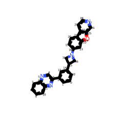 c1cc(-c2cnc3ccccc3n2)cc(C2CN(c3ccc4c(c3)oc3cnccc34)C2)c1